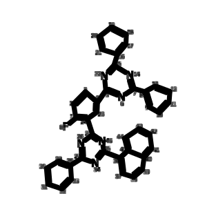 Fc1ccc(-c2nc(-c3ccccc3)nc(-c3ccccc3)n2)cc1-c1nc(-c2ccccc2)nc(-c2cccc3ccccc23)n1